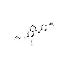 [C-]#[N+]c1cc2c(Oc3ccc(N)cc3)ccnc2cc1OCCOC